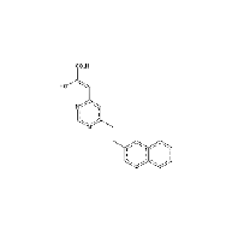 O=C(O)/C(O)=C/c1cc(CCc2ccc3ccccc3c2)ncn1